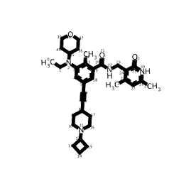 CCN(c1cc(C#CC2CCN(C3CCC3)CC2)cc(C(=O)NCc2c(C)cc(C)[nH]c2=O)c1C)C1CCOCC1